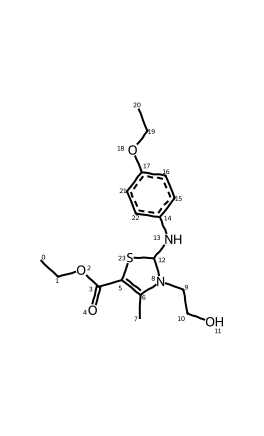 CCOC(=O)C1=C(C)N(CCO)C(Nc2ccc(OCC)cc2)S1